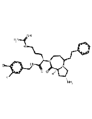 N=C(N)NCCC[C@H](C(=O)NCc1ccc(Cl)c(Cl)c1)N1CCC(CCc2ccccc2)N2C[C@H](N)C[C@H]2C1=O